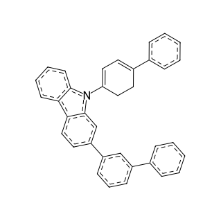 C1=C(c2ccccc2)CCC(n2c3ccccc3c3ccc(-c4cccc(-c5ccccc5)c4)cc32)=C1